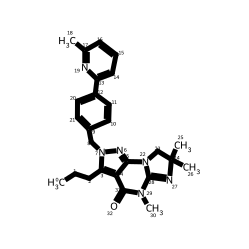 CCCc1c2c(nn1Cc1ccc(-c3cccc(C)n3)cc1)N1CC(C)(C)N=C1N(C)C2=O